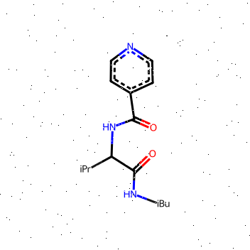 CCC(C)NC(=O)C(NC(=O)c1ccncc1)C(C)C